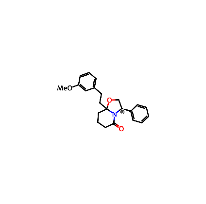 COc1cccc(CCC23CCCC(=O)N2[C@H](c2ccccc2)CO3)c1